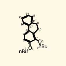 CCCCOc1ccc2c(c1OCCCC)CCc1ccccc1-2